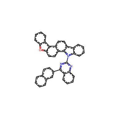 c1ccc2cc(-c3nc(-n4c5ccccc5c5ccc6c(ccc7oc8ccccc8c76)c54)nc4ccccc34)ccc2c1